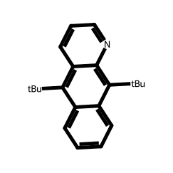 CC(C)(C)c1c2ccccc2c(C(C)(C)C)c2ncccc12